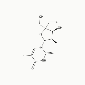 C=C1NC(=O)C(F)=CN1[C@@H]1O[C@@](CO)(CCl)[C@@H](O)[C@H]1F